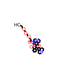 C#CCCOCCOCCOCCC(=O)NCCN1C(=O)c2ccccc2C12c1cc3c4c(c1Oc1c2cc2c5c1CCCN5CCC2)CCCN4CCC3